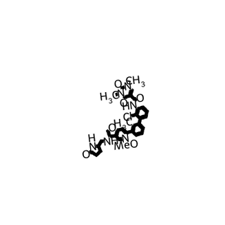 COc1nc(-c2cccc(-c3cccc(NC(=O)c4cn(C)c(=O)n(C)c4=O)c3Cl)c2C)cc2c1C(NCC1CCC(=O)N1)CO2